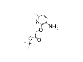 Cc1ccc(N)c(OCC(=O)OC(C)(C)C)n1